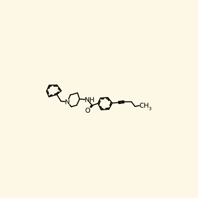 CCCC#Cc1ccc(C(=O)NC2CCN(Cc3ccccc3)CC2)cc1